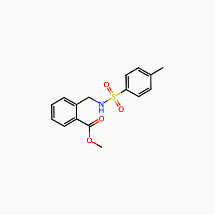 COC(=O)c1ccccc1CNS(=O)(=O)c1ccc(C)cc1